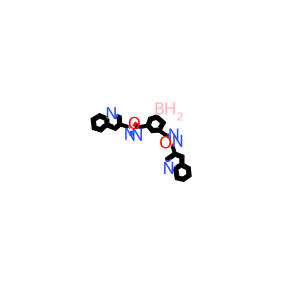 Bc1cc(-c2nnc(-c3cnc4ccccc4c3)o2)cc(-c2nnc(-c3cnc4ccccc4c3)o2)c1